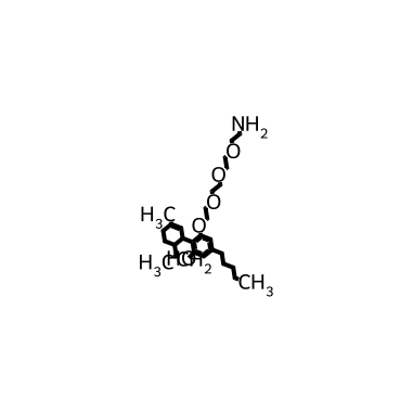 C=C(C)C1CCC(C)=CC1c1c(O)cc(CCCCC)cc1OCCOCCOCCOCCN